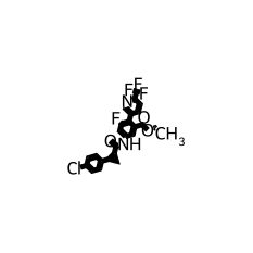 CCOC(=O)c1cc(NC(=O)C2CC2c2ccc(Cl)cc2)cc(F)c1-c1ccc(C(F)(F)F)nc1